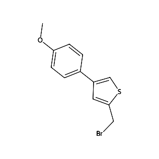 COc1ccc(-c2csc(CBr)c2)cc1